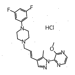 COc1nccnc1-n1ncc(C=CCN2CCN(c3cc(F)cc(F)c3)CC2)c1C.Cl